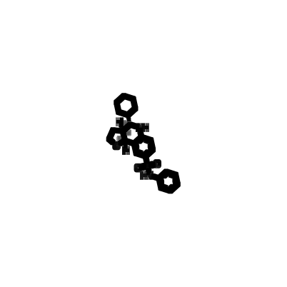 O=S(=O)(Nc1ccccc1)c1ccc2c(c1)[C@H]1OCC[C@H]1[C@H](C1CCCCC1)N2